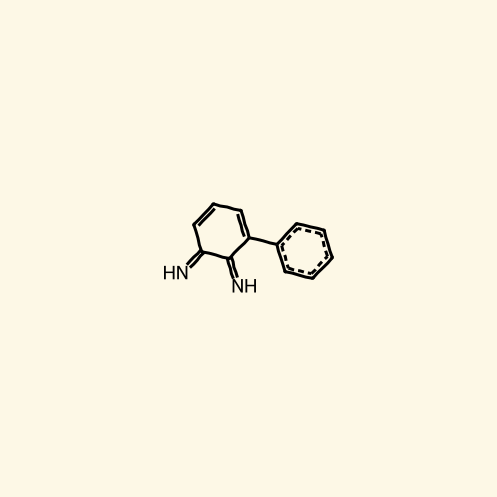 N=C1C=CC=C(c2ccccc2)C1=N